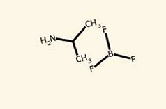 CC(C)N.FB(F)F